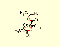 CCC(O[Si](C)(C)C(CC)O[SiH](C)C)[SiH](C)C